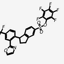 O=S(=O)(Oc1c(F)c(F)c(F)c(F)c1F)c1ccc2c(c1)CCC2c1ccc(C(F)(F)F)cc1-c1ncco1